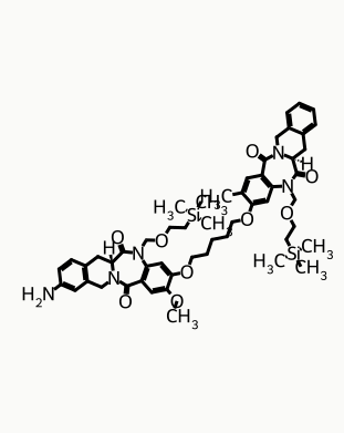 COc1cc2c(cc1OCCCCCOc1cc3c(cc1C)C(=O)N1Cc4ccccc4C[C@H]1C(=O)N3COCC[Si](C)(C)C)N(COCC[Si](C)(C)C)C(=O)[C@H]1Cc3ccc(N)cc3CN1C2=O